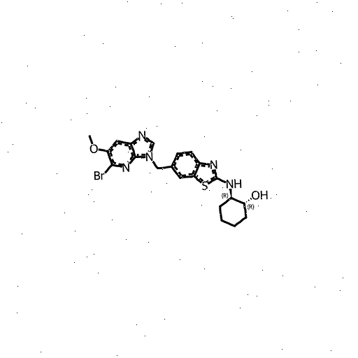 COc1cc2ncn(Cc3ccc4nc(N[C@@H]5CCCC[C@H]5O)sc4c3)c2nc1Br